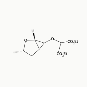 CCOC(=O)C(OC1C2C[C@H](C)O[C@@H]21)C(=O)OCC